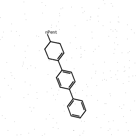 CCCCCC1CC=C(c2ccc(-c3ccccc3)cc2)CC1